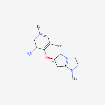 CCCCN1CC[N+]2=C1C[C@@H](OC1=C(CCC)C=[N+](CC)CC1N)C2